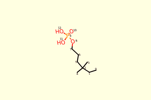 CCC(C)(C)CCCOP(=O)(O)O